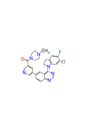 CN1CCN(C(=O)c2cncc(-c3ccc4ncnc(N5CCc6cc(F)c(Cl)cc65)c4c3)c2)CC1